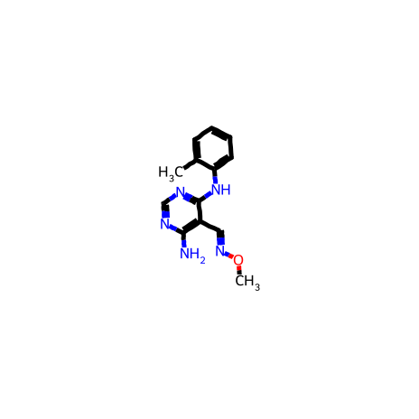 CON=Cc1c(N)ncnc1Nc1ccccc1C